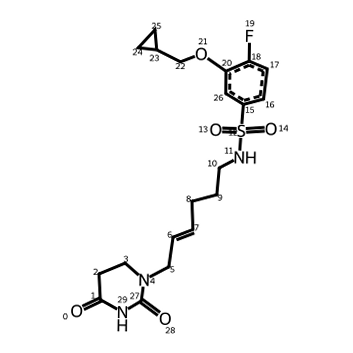 O=C1CCN(CC=CCCCNS(=O)(=O)c2ccc(F)c(OCC3CC3)c2)C(=O)N1